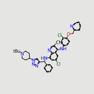 CC(C)(C)N1CCC(n2cc([C@@H](Nc3cc(Cl)cc4c(Nc5ccc(OCc6ccccn6)c(Cl)c5)c(C#N)cnc34)c3ccccc3)nn2)CC1